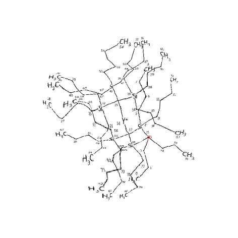 CCCC[Si](CCCC)(CCCC)[C]([Y+][C]([Si](CCCC)(CCCC)CCCC)([Si](CCCC)(CCCC)CCCC)[Si](CCCC)(CCCC)CCCC)([Si](CCCC)(CCCC)CCCC)[Si](CCCC)(CCCC)CCCC